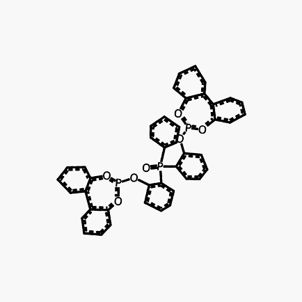 O=P(c1ccccc1)(c1ccccc1Op1oc2ccccc2c2ccccc2o1)c1ccccc1Op1oc2ccccc2c2ccccc2o1